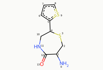 NC1CSC(c2cccs2)CNC1=O